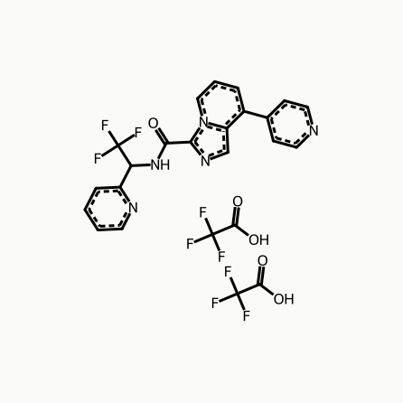 O=C(NC(c1ccccn1)C(F)(F)F)c1ncc2c(-c3ccncc3)cccn12.O=C(O)C(F)(F)F.O=C(O)C(F)(F)F